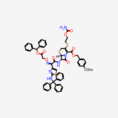 COc1ccc(COC(=O)C2=C(SCCOC(N)=O)CS[C@H]3[C@H](NC(=O)/C(=N\OCC(=O)OC(c4ccccc4)c4ccccc4)c4csc(NC(c5ccccc5)(c5ccccc5)c5ccccc5)n4)C(=O)N23)cc1